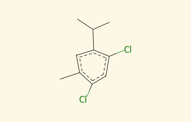 Cc1cc(C(C)C)c(Cl)cc1Cl